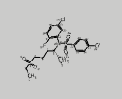 CCS(=O)(=O)CCC[C@@H](C)N(c1cc(Cl)ccc1F)S(=O)(=O)c1ccc(Cl)cc1